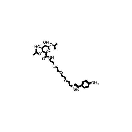 CC(C)O[C@@H]1OC(C(=O)NCCOCCOCCOCCn2cc(-c3ccc(N)cc3)nn2)[C@@H](OC(C)C)[C@H](O)[C@@H]1O